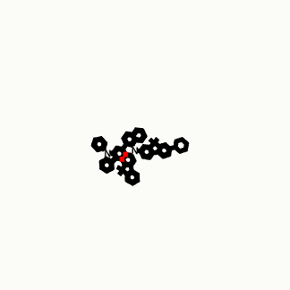 CC1(C)c2ccccc2-c2cc(N(c3ccc4c(c3)C(C)(C)c3cc(C5CCCCC5)ccc3-4)c3c(-c4ccc5c6ccccc6n(-c6ccccc6)c5c4)ccc4ccccc34)ccc21